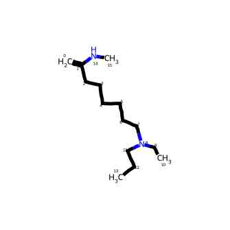 C=C(CCCCCCN(CC)CCC)NC